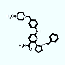 CN1CCN(Cc2ccc(Nc3ccc(C(N)=O)c([C@@H]4CCC[C@@H]4OCc4ccccc4)n3)cc2)CC1